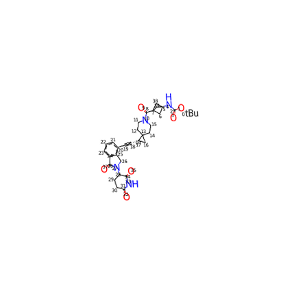 CC(C)(C)OC(=O)NC12CC(C(=O)N3CCC4(CC3)C[C@@H]4C#Cc3cccc4c3CN(C3CCC(=O)NC3=O)C4=O)(C1)C2